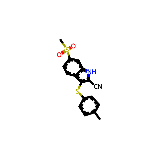 Cc1ccc(Sc2c(C#N)[nH]c3cc(S(C)(=O)=O)ccc23)cc1